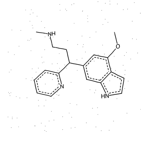 CNCCC(c1cc(OC)c2cc[nH]c2c1)c1ccccn1